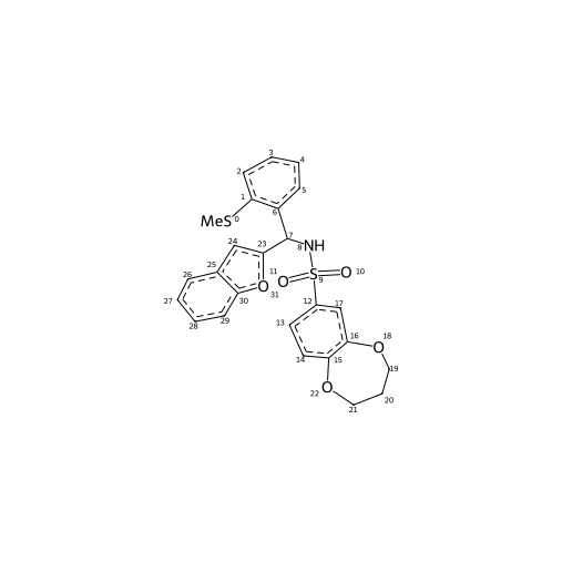 CSc1ccccc1C(NS(=O)(=O)c1ccc2c(c1)OCCCO2)c1cc2ccccc2o1